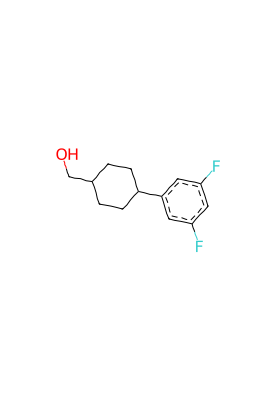 OCC1CCC(c2cc(F)cc(F)c2)CC1